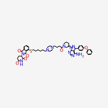 Nc1ncnc2c1c(-c1ccc(Oc3ccccc3)cc1)nn2[C@@H]1CCCN(C(=O)CCCN2CCN(CCCCCCSc3cccc4c3C(=O)N(C3CCC(=O)NC3=O)C4=O)CC2)C1